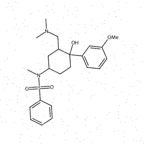 COc1cccc(C2(O)CCC(N(C)S(=O)(=O)c3ccccc3)CC2CN(C)C)c1